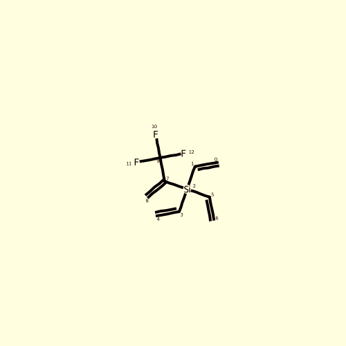 C=C[Si](C=C)(C=C)C(=C)C(F)(F)F